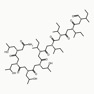 CCC(C)N(C=O)CC(=O)N(CC(=O)N(CC(=O)N(CC(=O)N(CC(=O)N(CC(=O)N(CC(=O)N(CC(=O)N(CC(N)=O)CC(C)O)CC(C)O)CC(C)O)CC(C)O)C(C)CC)C(C)CC)C(C)CC)C(C)CC